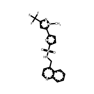 Cn1nc(C(F)(F)F)cc1-c1ccc(S(=O)(=O)NCc2ccnc3ccccc23)s1